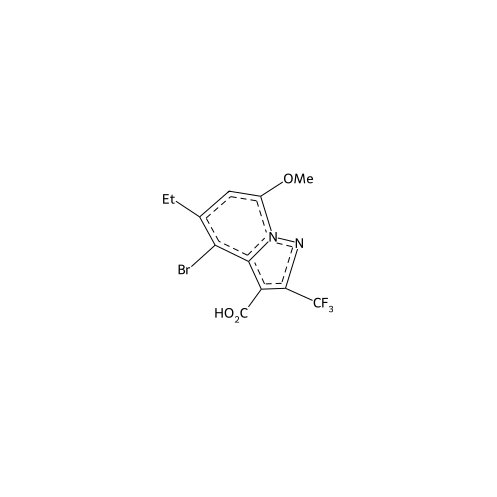 CCc1cc(OC)n2nc(C(F)(F)F)c(C(=O)O)c2c1Br